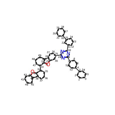 c1ccc(-c2ccc(-c3nc(-c4cccc(-c5ccccc5)c4)nc(-c4ccc5c(c4)oc4c(-c6cccc7c6oc6ccccc67)cccc45)n3)cc2)cc1